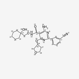 N#Cc1cccc(-c2nc(N)c(C(=O)NOCC3(O)CCCCC3)c(O[C@H]3CCOC3)n2)c1